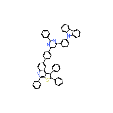 c1ccc(-c2nc(-c3ccc(-c4ccc5nc(-c6ccccc6)c6sc(-c7ccccc7)c(-c7ccccc7)c6c5c4)cc3)cc(-c3cccc(-n4c5ccccc5c5ccccc54)c3)n2)cc1